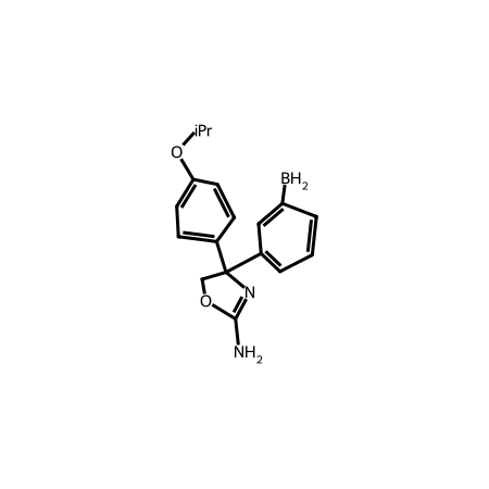 Bc1cccc(C2(c3ccc(OC(C)C)cc3)COC(N)=N2)c1